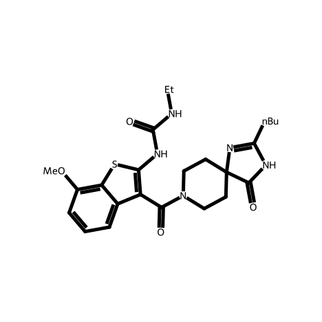 CCCCC1=NC2(CCN(C(=O)c3c(NC(=O)NCC)sc4c(OC)cccc34)CC2)C(=O)N1